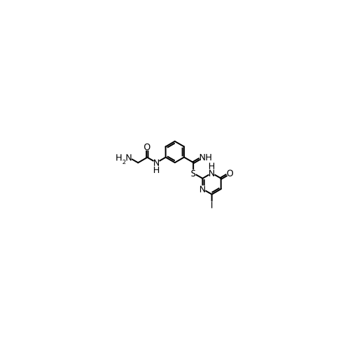 N=C(Sc1nc(I)cc(=O)[nH]1)c1cccc(NC(=O)CN)c1